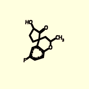 CC1CC2(CCC(O)C2=O)c2cc(F)ccc2O1